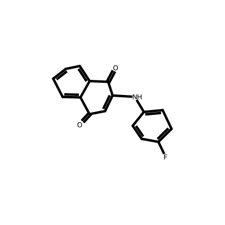 O=C1C=C(Nc2ccc(F)cc2)C(=O)c2ccccc21